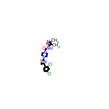 Cc1noc(NC(=O)N2CCN(c3nc(-c4ccc(Cl)cc4Cl)cs3)CC2)c1C